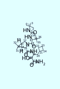 CC(C)(C)NC(=O)N[C@H](C(=O)N1C[C@H]2[C@@H]([C@H]1C(=O)NC(CC1CCC1)C(O)C(N)=O)C2(C)C)C(C)(C)C